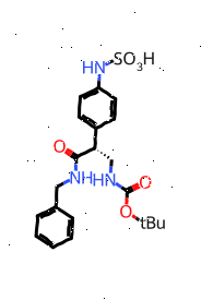 CC(C)(C)OC(=O)NC[C@H](C(=O)NCc1ccccc1)c1ccc(NS(=O)(=O)O)cc1